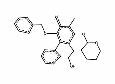 Cc1c(OC2CCCCO2)n(CCO)c(-c2ccccc2)c(OCc2ccccc2)c1=O